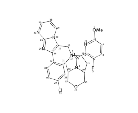 COc1ccc(F)c(C(=O)N2C3CCN(Cc4c(-c5ccc(Cl)cc5)nc5ncccn45)CC2COC3)n1